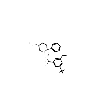 C[C@@H](OC[C@@]1(c2ccccc2)CC[C@H](N)CN1)c1cc(CF)cc(C(F)(F)F)c1